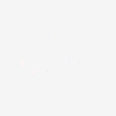 CCC=CCN(CC=CCOC(C)=O)CCCN(C)C